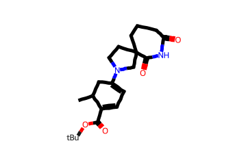 CC1CC(N2CCC3(CCCC(=O)NC3=O)C2)=CC=C1C(=O)OC(C)(C)C